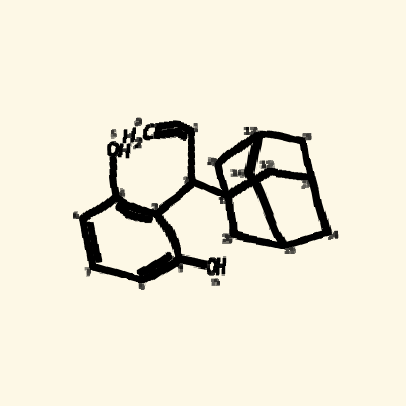 C=CC(c1c(O)cccc1O)C12CC3CC(CC(C3)C1)C2